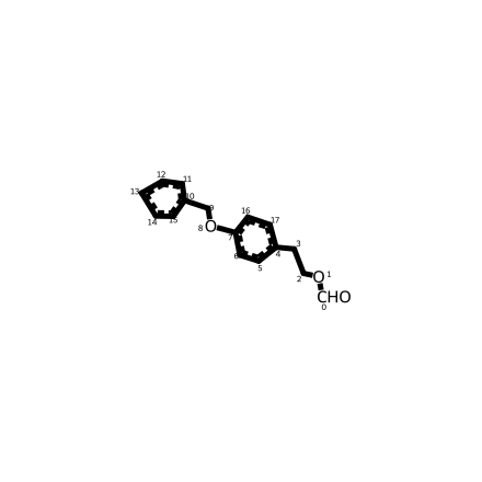 O=COCCc1ccc(OCc2ccccc2)cc1